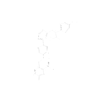 Cc1ccc(N(Cc2cccc(-c3ccc(OCc4ccc(F)cc4C(=O)O)cc3)c2)C(C)C)cc1